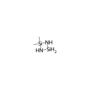 C[Si]1(C)N[SiH2]N1